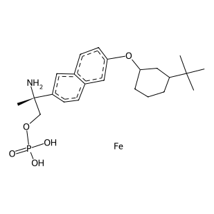 CC(C)(C)C1CCCC(Oc2ccc3cc([C@@](C)(N)COP(=O)(O)O)ccc3c2)C1.[Fe]